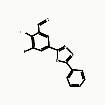 O=Cc1cc(-c2nnc(-c3ccccc3)o2)cc(F)c1O